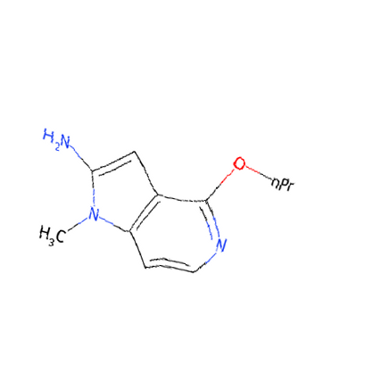 CCCOc1nccc2c1cc(N)n2C